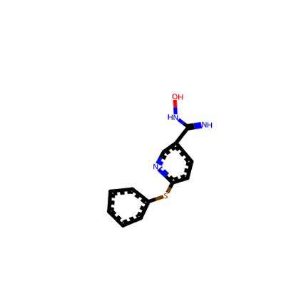 N=C(NO)c1ccc(Sc2ccccc2)nc1